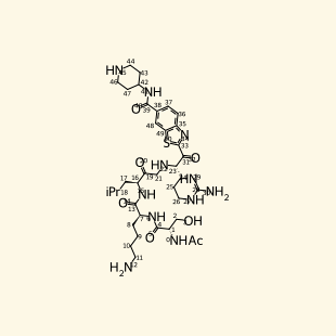 CC(=O)N[C@@H](CO)C(=O)N[C@@H](CCCCN)C(=O)N[C@@H](CC(C)C)C(=O)CN[C@@H](CCCNC(=N)N)C(=O)c1nc2ccc(C(=O)NC3CCNCC3)cc2s1